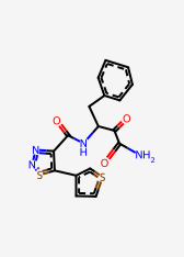 NC(=O)C(=O)C(Cc1ccccc1)NC(=O)c1nnsc1-c1ccsc1